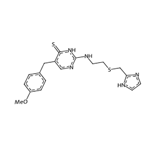 COc1ccc(Cc2cnc(NCCSCc3ncc[nH]3)[nH]c2=S)cc1